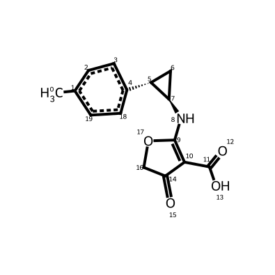 Cc1ccc([C@@H]2C[C@H]2NC2=C(C(=O)O)C(=O)CO2)cc1